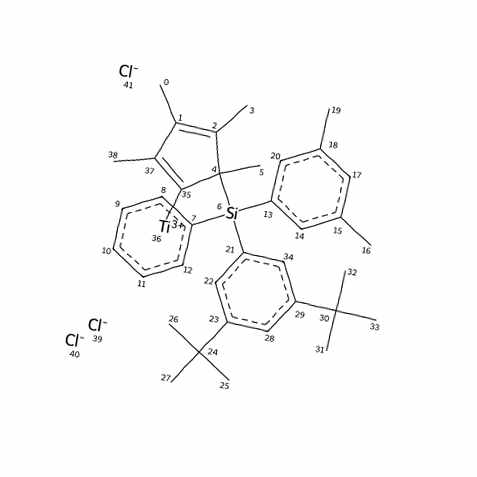 CC1=C(C)C(C)([Si](c2ccccc2)(c2cc(C)cc(C)c2)c2cc(C(C)(C)C)cc(C(C)(C)C)c2)[C]([Ti+3])=C1C.[Cl-].[Cl-].[Cl-]